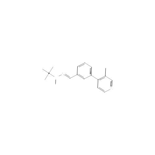 Cc1cnccc1-c1cccc(/C=N/[S+]([O-])C(C)(C)C)c1